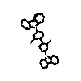 Cc1cc(-n2c3ccccc3c3ccccc32)ccc1-c1ccc(-n2c3ccccc3c3ccccc32)cc1I